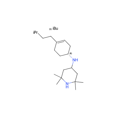 CC[C@H](C)C(CC(C)C)C1=CC[C@H](NC2CC(C)(C)NC(C)(C)C2)CC1